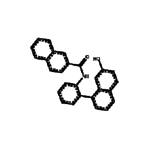 O=C(Nc1ccccc1-c1cccc2ccc(O)cc12)c1ccc2ccccc2c1